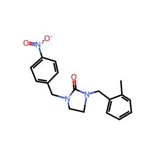 Cc1ccccc1CN1CCN(Cc2ccc([N+](=O)[O-])cc2)C1=O